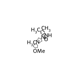 CO[C@H]1CC[C@](C)(N2CCC(n3c(=O)[nH]c4cc(C)c(C)cc43)CC2)CC1